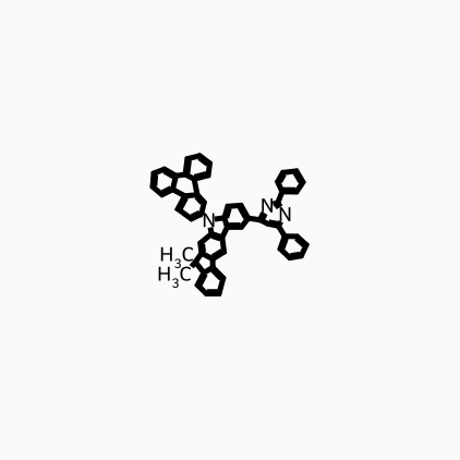 CC1(C)c2ccccc2-c2cc3c4cc(-c5cc(-c6ccccc6)nc(-c6ccccc6)n5)ccc4n(-c4ccc5c6ccccc6c6ccccc6c5c4)c3cc21